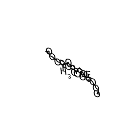 CC1(C)c2cc(OC(=O)c3ccc(OCCOCC4CO4)cc3F)ccc2-c2ccc(OC(=O)c3ccc(OCCOCC4CO4)cc3F)cc21